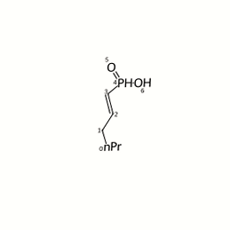 CCCCC=C[PH](=O)O